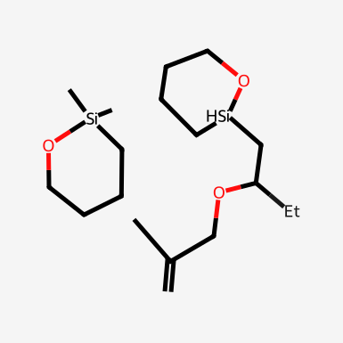 C=C(C)COC(CC)C[SiH]1CCCCO1.C[Si]1(C)CCCCO1